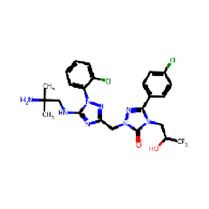 CC(C)(N)CNc1nc(Cn2nc(-c3ccc(Cl)cc3)n(CC(O)C(F)(F)F)c2=O)nn1-c1ccccc1Cl